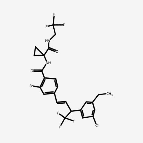 CCc1cc(Cl)cc(C(/C=C/c2ccc(C(=O)NC3(C(=O)NCC(F)(F)F)CC3)c(Br)c2)C(F)(F)F)c1